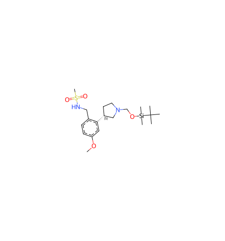 COc1ccc(CNS(C)(=O)=O)c([C@@H]2CCN(CO[Si](C)(C)C(C)(C)C)C2)c1